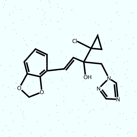 OC(C=Cc1cccc2c1OCO2)(Cn1cncn1)C1(Cl)CC1